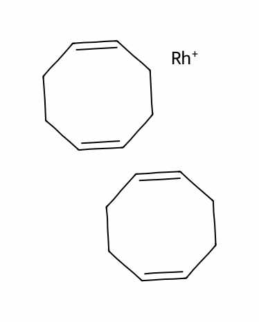 C1=CCCC=CCC1.C1=CCCC=CCC1.[Rh+]